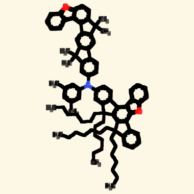 CCCCCCCC1(CCCCCCC)c2ccccc2-c2c1c1c(c3c2oc2ccccc23)-c2ccc(N(c3cc(C)cc(C)c3)c3ccc4c(c3)C(C)(C)c3cc5c(cc3-4)C(C)(C)c3ccc4oc6ccccc6c4c3-5)cc2C1(CCCCCCC)CCCCCCC